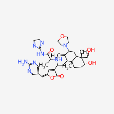 C=C1C(N2CCOCC2)CC2[C@](C)(CC[C@@H](O)[C@@]2(C)CO)C1CC(NC(C)C(=O)NC1=NCC=N1)C1=C/C(=C\c2cnc(N)nc2)OC1=O